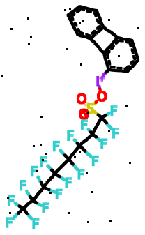 O=S(=O)(O[I+]c1cccc2c1-c1ccccc1-2)C(F)(F)C(F)(F)C(F)(F)C(F)(F)C(F)(F)C(F)(F)C(F)(F)C(F)(F)F